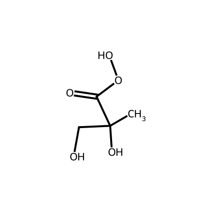 CC(O)(CO)C(=O)OO